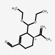 C=C(C)[C@H]1CCC(C=O)=CC1C(OCC)OCC